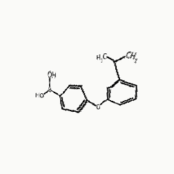 CC(C)c1cccc(Oc2ccc(B(O)O)cc2)c1